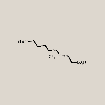 C.CCCCCCCCCCCCSCCC(=O)O